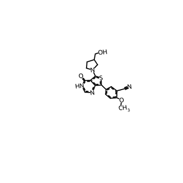 COc1ccc(-c2sc(N3CCC(CO)C3)c3c(=O)[nH]cnc23)cc1C#N